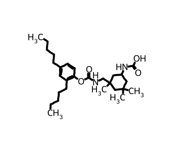 CCCCCc1ccc(OC(=O)NCC2(C)CC(NC(=O)O)CC(C)(C)C2)c(CCCCC)c1